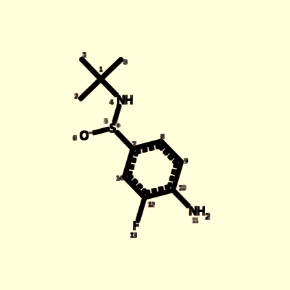 CC(C)(C)N[S+]([O-])c1ccc(N)c(F)c1